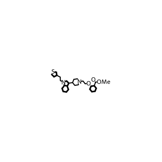 COC(=O)c1ccccc1OCCN1CCC(c2cn(CCc3ccsc3)c3ccccc23)CC1